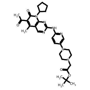 CC(=O)c1c(C)c2cnc(Nc3ccc(N4CCN(CC(=O)OC(C)(C)C)CC4)cn3)nc2n(C2CCCC2)c1=O